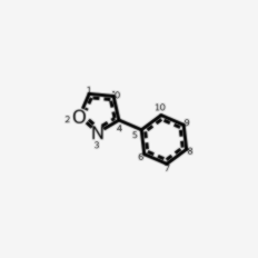 [c]1conc1-c1ccccc1